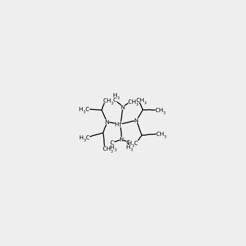 CC(C)[N](C(C)C)[Hf]([N](C)C)([N](C)C)[N](C(C)C)C(C)C